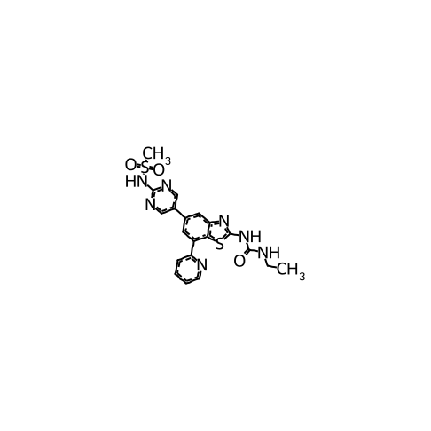 CCNC(=O)Nc1nc2cc(-c3cnc(NS(C)(=O)=O)nc3)cc(-c3ccccn3)c2s1